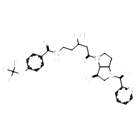 CC(CCNC(=O)c1ccc(OC(F)(F)F)cc1)CC(=O)N1CCC2C1C(=O)CN2C(=O)c1ccccn1